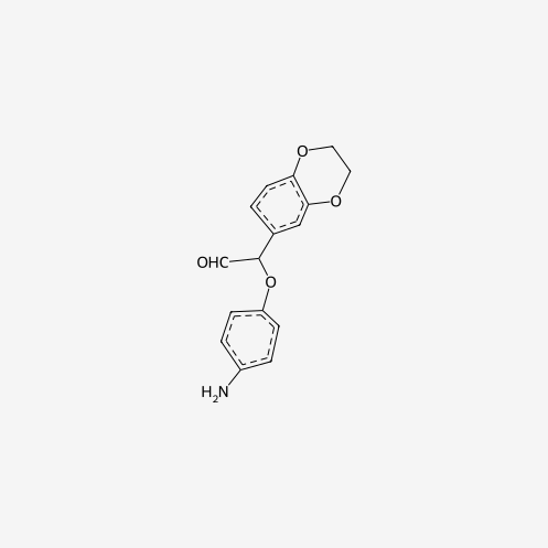 Nc1ccc(OC(C=O)c2ccc3c(c2)OCCO3)cc1